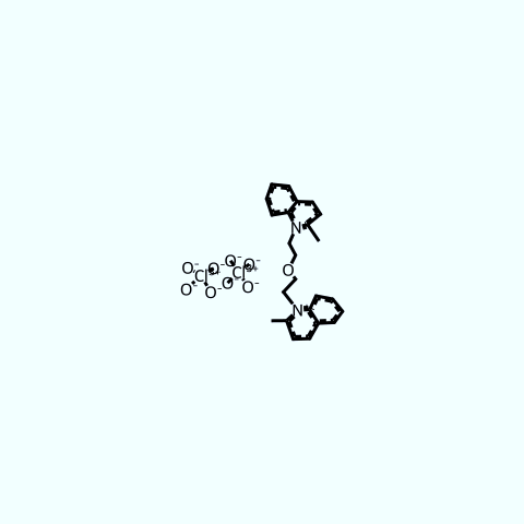 Cc1ccc2ccccc2[n+]1CCOCC[n+]1c(C)ccc2ccccc21.[O-][Cl+3]([O-])([O-])[O-].[O-][Cl+3]([O-])([O-])[O-]